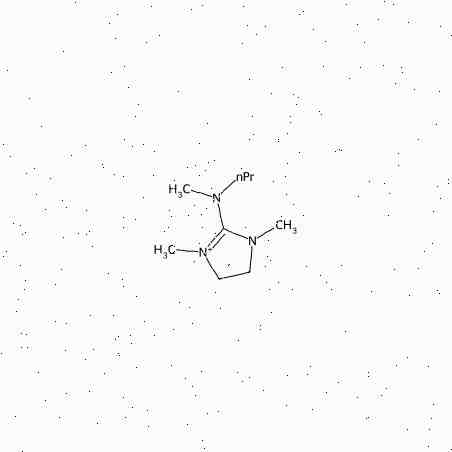 CCCN(C)C1=[N+](C)CCN1C